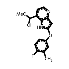 COC(O)c1ccnc2cc(Oc3ccc(F)c(C)c3)[nH]c12